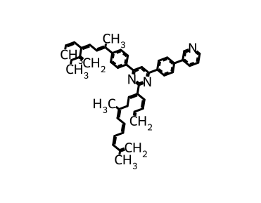 C=C/C=C\C(=C/C\C(C)=C/C=C\C=C/C(=C)C)c1nc(-c2ccc(/C(C)=C/C=C(/C=C\C)C(=C)CC)cc2)cc(-c2ccc(-c3cccnc3)cc2)n1